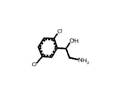 NCC(O)c1cc(Cl)ccc1Cl